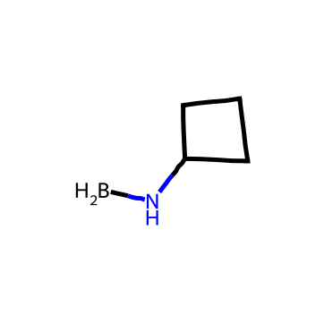 BNC1CCC1